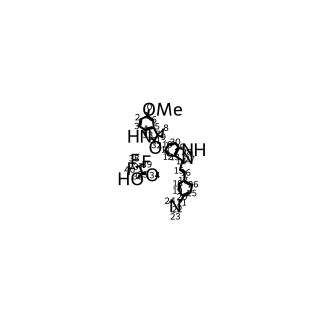 COc1ccc2c(c1)[C@@]1(C[C@@H]1c1ccc3c(/C=C/c4ccc(CN(C)C)cc4)n[nH]c3c1)C(=O)N2.O=C(O)C(F)(F)F